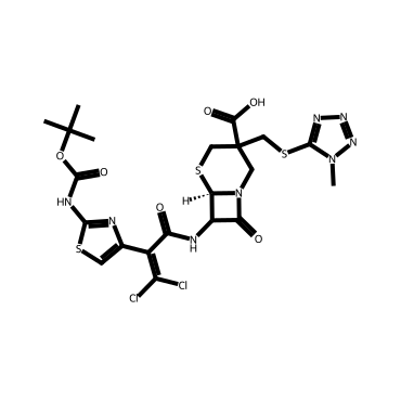 Cn1nnnc1SCC1(C(=O)O)CS[C@@H]2C(NC(=O)C(=C(Cl)Cl)c3csc(NC(=O)OC(C)(C)C)n3)C(=O)N2C1